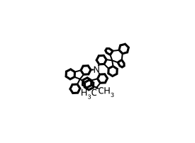 CC1(C)c2ccccc2-c2c(N(c3ccc4c(c3)C(c3ccccc3)(c3ccccc3)c3ccccc3-4)c3cccc4c3-c3ccccc3C43c4ccccc4-c4ccccc4-c4ccccc43)cccc21